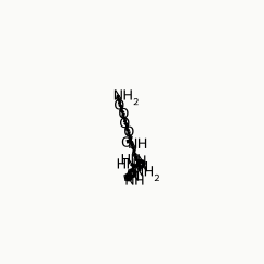 N=C(c1cnc2[nH]ccc2c1)c1c(N)ncnc1NCCCCNC(=O)CCOCCOCCOCCOCCN